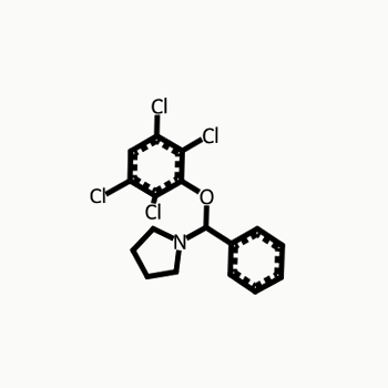 Clc1cc(Cl)c(Cl)c(OC(c2ccccc2)N2CCCC2)c1Cl